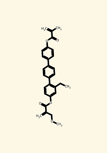 C=C(C)C(=O)Oc1ccc(-c2ccc(-c3ccc(OC(=O)C(=C)COC)cc3CC)cc2)cc1